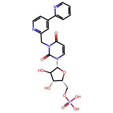 O=c1ccn([C@@H]2O[C@H](COP(=O)(O)O)[C@H](O)C2O)c(=O)n1Cc1cc(-c2ccccn2)ccn1